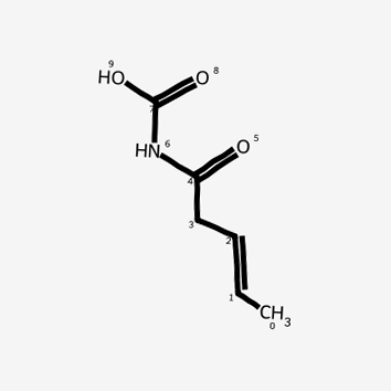 CC=CCC(=O)NC(=O)O